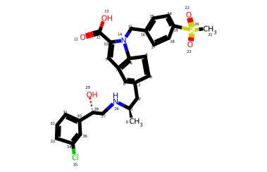 C[C@H](Cc1ccc2c(c1)cc(C(=O)O)n2Cc1ccc(S(C)(=O)=O)cc1)NC[C@@H](O)c1cccc(Cl)c1